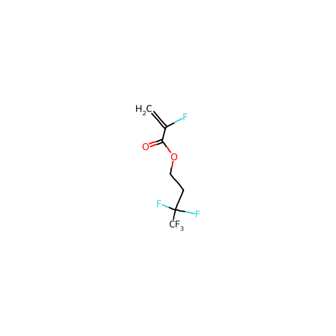 C=C(F)C(=O)OCCC(F)(F)C(F)(F)F